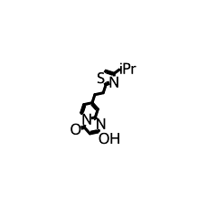 CC(C)c1csc(CCc2ccn3c(=O)cc(O)nc3c2)n1